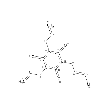 C=CCn1c(=O)n(CC=C)c(=O)n(CC=CCl)c1=O